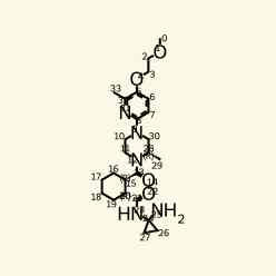 COCCOc1ccc(N2CCN(C(=O)[C@@H]3CCCC[C@H]3C(=O)NC3(N)CC3)[C@H](C)C2)nc1C